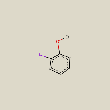 CCOc1[c]cccc1I